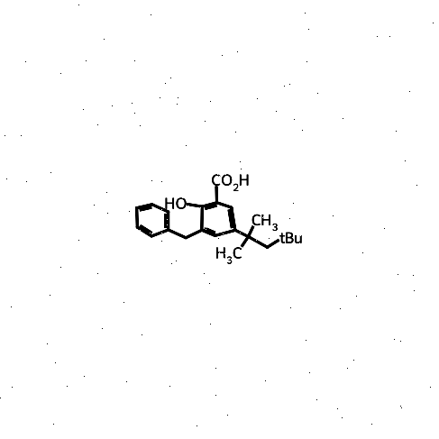 CC(C)(C)CC(C)(C)c1cc(Cc2ccccc2)c(O)c(C(=O)O)c1